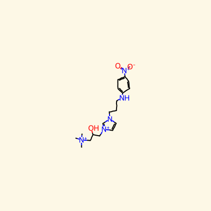 C[N+](C)(C)CC(O)C[n+]1ccn(CCCNc2ccc([N+](=O)[O-])cc2)c1